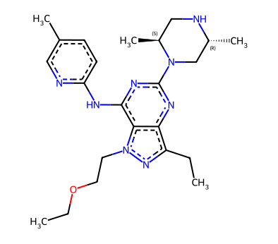 CCOCCn1nc(CC)c2nc(N3C[C@@H](C)NC[C@@H]3C)nc(Nc3ccc(C)cn3)c21